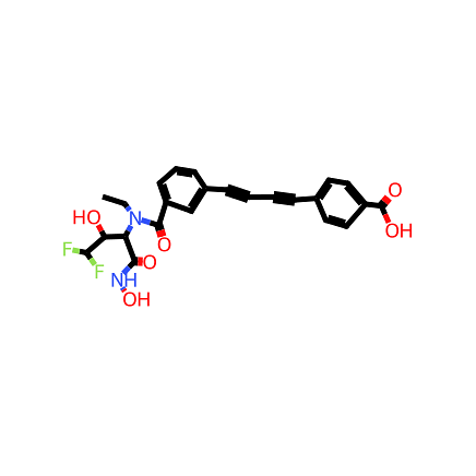 CCN(C(=O)c1cccc(C#CC#Cc2ccc(C(=O)O)cc2)c1)C(C(=O)NO)C(O)C(F)F